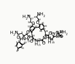 Cc1ccc(C(=O)N[C@@H](CCN)C(=O)N(C)[C@@H]2C(=O)N[C@@H](C)C(=O)N[C@H](C(=O)N[C@@H](C)C(=O)NS(N)(=O)=O)Cc3ccc(OCCN)c(c3)-c3cc2ccc3OCCN)c(C)c1